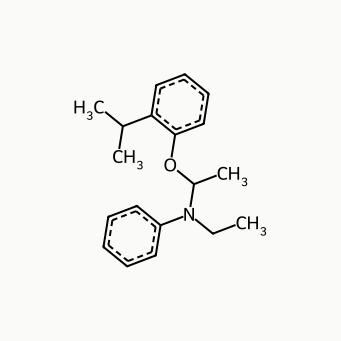 CCN(c1ccccc1)C(C)Oc1ccccc1C(C)C